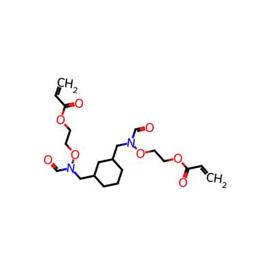 C=CC(=O)OCCON(C=O)CC1CCCC(CN(C=O)OCCOC(=O)C=C)C1